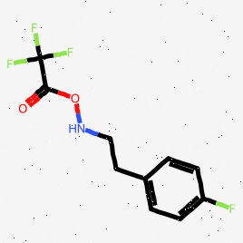 O=C(ONCCc1ccc(F)cc1)C(F)(F)F